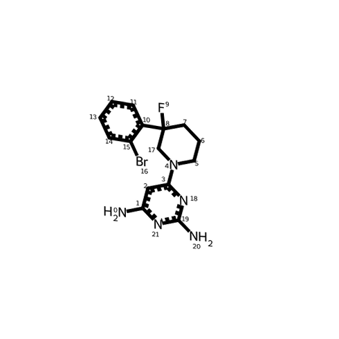 Nc1cc(N2CCCC(F)(c3ccccc3Br)C2)nc(N)n1